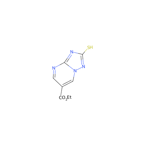 CCOC(=O)c1cnc2nc(S)nn2c1